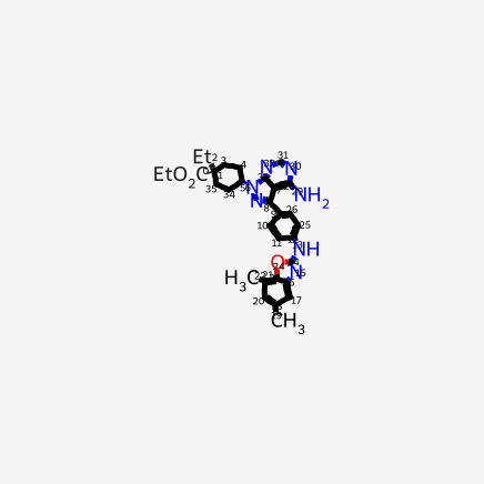 CCOC(=O)[C@]1(CC)CC[C@@H](n2nc(-c3ccc(Nc4nc5cc(C)cc(C)c5o4)cc3)c3c(N)ncnc32)CC1